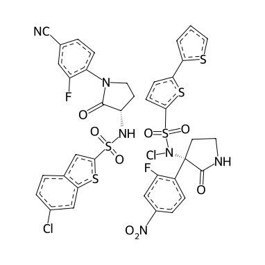 N#Cc1ccc(N2CC[C@H](NS(=O)(=O)c3cc4ccc(Cl)cc4s3)C2=O)c(F)c1.O=C1NCC[C@@]1(c1ccc([N+](=O)[O-])cc1F)N(Cl)S(=O)(=O)c1ccc(-c2cccs2)s1